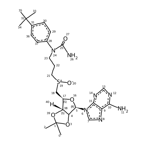 CC1(C)OC2[C@H](n3cnc4c(N)ncnc43)O[C@H](C[S+]([O-])CCCN(C(N)=O)c3ccc(C(C)(C)C)cc3)[C@H]2O1